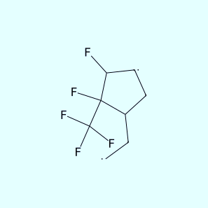 [CH2]CC1C[CH]C(F)C1(F)C(F)(F)F